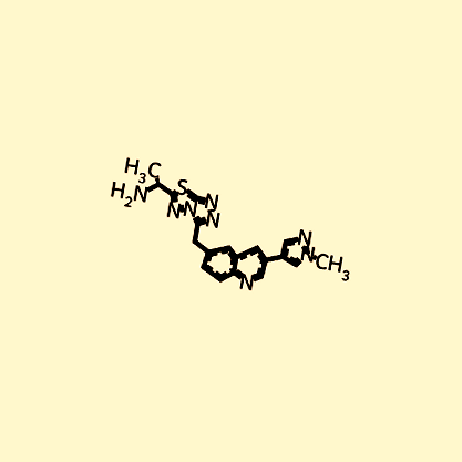 C[C@H](N)c1nn2c(Cc3ccc4ncc(-c5cnn(C)c5)cc4c3)nnc2s1